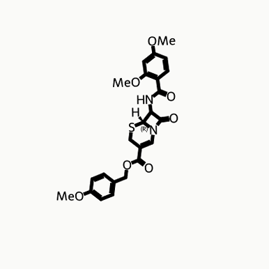 COc1ccc(COC(=O)C2=CN3C(=O)C(NC(=O)c4ccc(OC)cc4OC)[C@H]3SC2)cc1